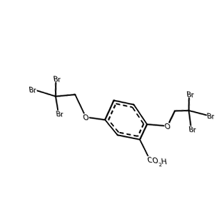 O=C(O)c1cc(OCC(Br)(Br)Br)ccc1OCC(Br)(Br)Br